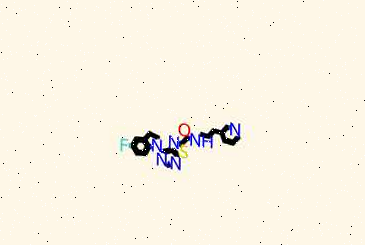 O=C(NCCCC1C=CC=NC1)c1nc2c(N3CCc4cc(F)ccc43)ncnc2s1